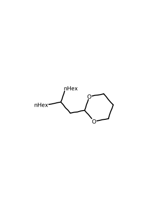 CCCCCCC(CCCCCC)CC1OCCCO1